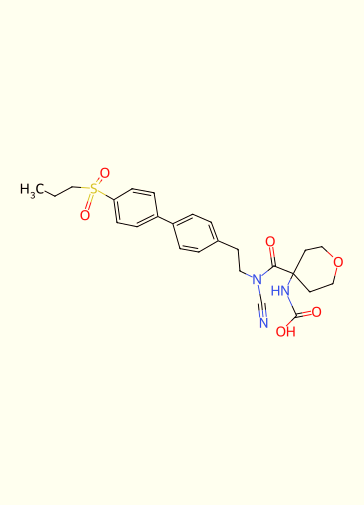 CCCS(=O)(=O)c1ccc(-c2ccc(CCN(C#N)C(=O)C3(NC(=O)O)CCOCC3)cc2)cc1